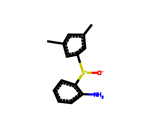 Cc1cc(C)cc([S+]([O-])c2ccccc2N)c1